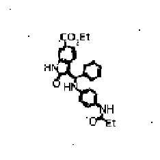 CCOC(=O)c1ccc2c(c1)NC(=O)/C2=C(\Nc1ccc(NC(=O)CC)cc1)c1ccccc1